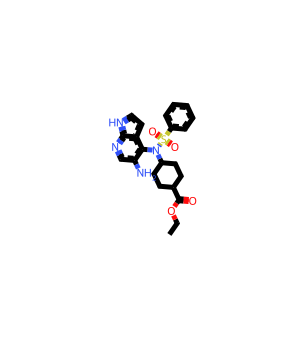 CCOC(=O)C1CCC(N(c2c(N)cnc3[nH]ccc23)S(=O)(=O)c2ccccc2)CC1